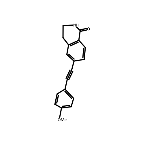 COc1ccc(C#Cc2ccc3c(c2)CCNC3=O)cc1